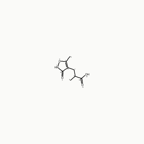 Cc1o[nH]c(=O)c1CC(C)C(=O)O